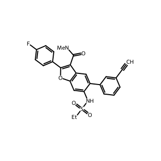 C#Cc1cccc(-c2cc3c(C(=O)NC)c(-c4ccc(F)cc4)oc3cc2NS(=O)(=O)CC)c1